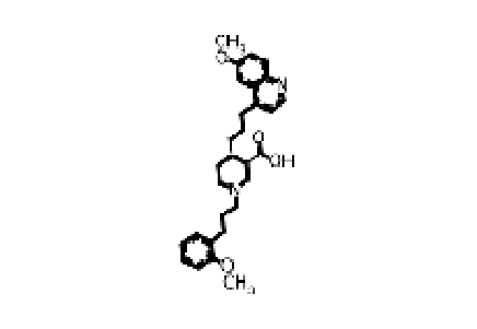 COc1ccc2nccc(CCC[C@@H]3CCN(CCCc4ccccc4OC)C[C@@H]3C(=O)O)c2c1